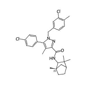 Cc1ccc(Cn2nc(C(=O)NC3C(C)(C)C4CC[C@@]3(C)C4)c(C)c2-c2ccc(Cl)cc2)cc1Cl